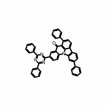 O=c1c2cc(-c3nc(-c4ccccc4)nc(-c4ccccc4)n3)ccc2n2c3cc(-c4ccccc4)ccc3c3ccc(-c4ccccc4)c1c32